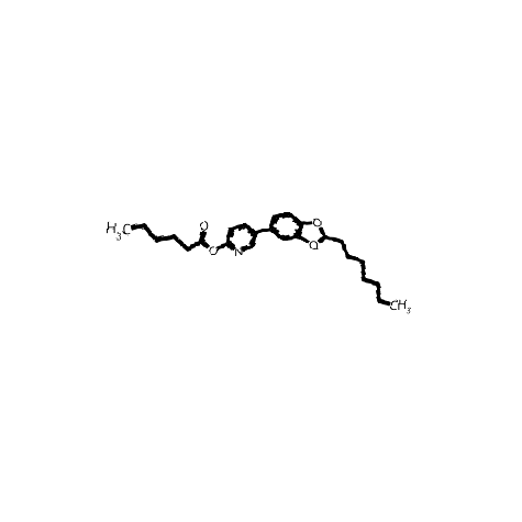 CCCCCCCC1Oc2ccc(-c3ccc(OC(=O)CCCCC)nc3)cc2O1